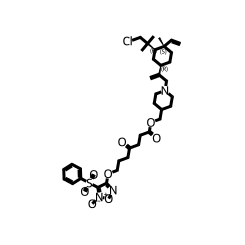 C=C[C@]1(C)CC[C@@H](C(=C)CN2CCC(COC(=O)CCC(=O)CCCOc3no[n+]([O-])c3S(=O)(=O)c3ccccc3)CC2)C[C@H]1C(C)(C)CCl